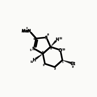 CC[C@@H]1CC[C@H]2N=C(NC)S[C@H]2O1